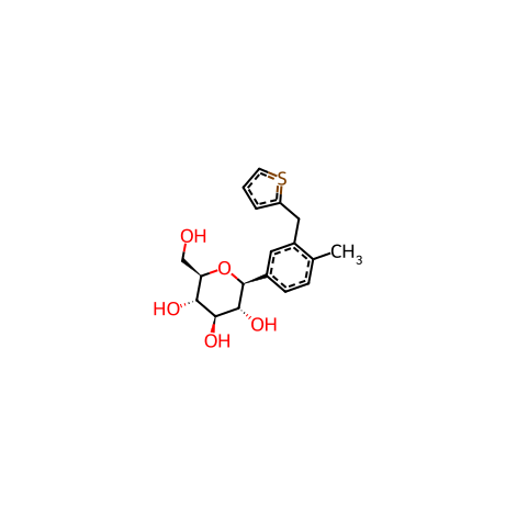 Cc1ccc([C@@H]2O[C@H](CO)[C@@H](O)[C@H](O)[C@H]2O)cc1Cc1cccs1